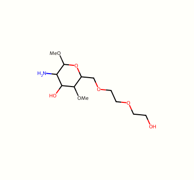 COC1OC(COCCOCCO)C(OC)C(O)C1N